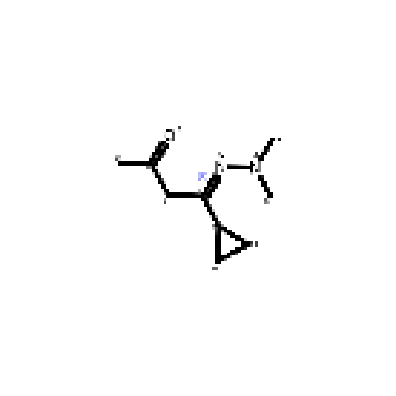 CC(=O)C/C(=N/N(C)C)C1CC1